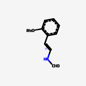 COc1ccccc1/C=C/NC=O